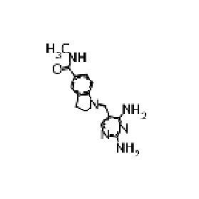 CNC(=O)c1ccc2c(c1)CCN2Cc1cnc(N)nc1N